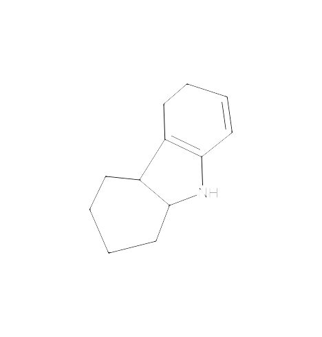 C1=CC2=C(CC1)C1CCCCC1N2